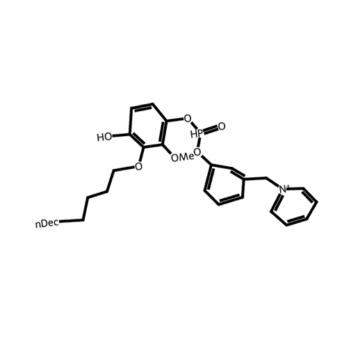 CCCCCCCCCCCCCCOc1c(O)ccc(O[PH](=O)Oc2cccc(C[n+]3ccccc3)c2)c1OC